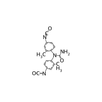 Cc1cc(N=C=O)ccc1N(C(N)=O)c1ccc(N=C=O)cc1C